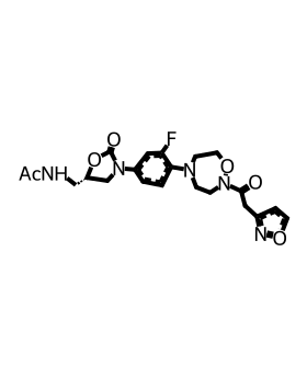 CC(=O)NC[C@H]1CN(c2ccc(N3CCON(C(=O)Cc4ccon4)CC3)c(F)c2)C(=O)O1